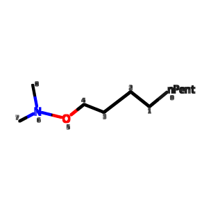 CCCCCCCCCON(C)C